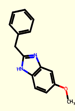 COc1ccc2[nH]c(Cc3ccccc3)nc2c1